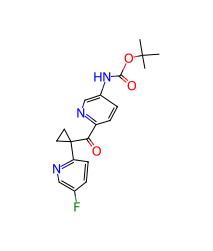 CC(C)(C)OC(=O)Nc1ccc(C(=O)C2(c3ccc(F)cn3)CC2)nc1